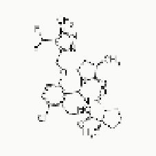 C[C@@H]1CCN(C2c3c(OCc4nnn(C)c4C(F)F)ccc(Cl)c3CCN2C(=O)[C@@H]2CCC[C@]2(C)C(=O)O)C1=O